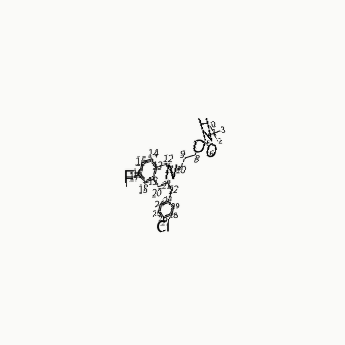 CC(C)(C)NC(=O)OCCCN1Cc2ccc(F)cc2CC1Cc1ccc(Cl)cc1